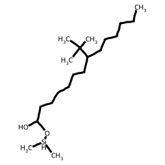 CCCCCCC(CCCCCCC(O)O[SiH](C)C)C(C)(C)C